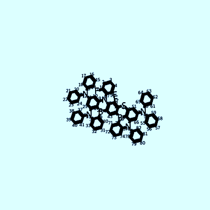 Fc1cccc(F)c1N1c2cc(N(c3ccccc3)c3ccccc3)cc3c2B(c2ccccc2N3c2ccccc2)c2cc3c(c(F)c21)Sc1cc(N(c2ccccc2)c2ccccc2)cc2c1B3c1ccccc1N2c1ccccc1